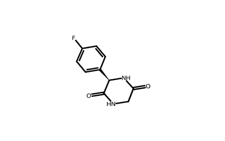 O=C1CNC(=O)[C@@H](c2ccc(F)cc2)N1